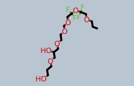 CCCOCC(F)(F)OC(F)(F)COCOCCOCC(O)COCCCO